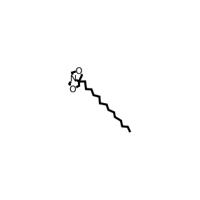 CCCCCCCCCCCCCCC12COCN1COC2